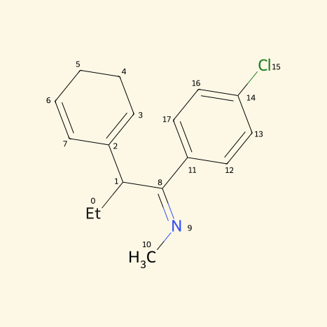 CCC(C1=CCCC=C1)/C(=N\C)c1ccc(Cl)cc1